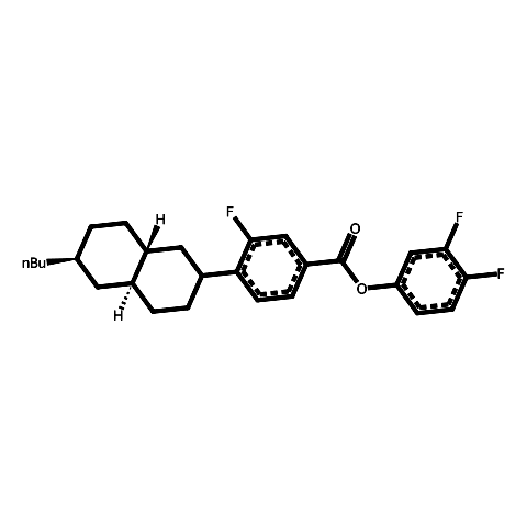 CCCC[C@H]1CC[C@@H]2CC(c3ccc(C(=O)Oc4ccc(F)c(F)c4)cc3F)CC[C@H]2C1